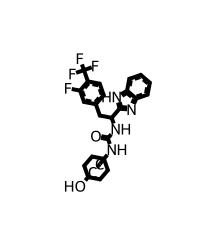 O=C(NC(Cc1ccc(C(F)(F)F)c(F)c1)c1nc2ccccc2[nH]1)NC12CCC(O)(CC1)CC2